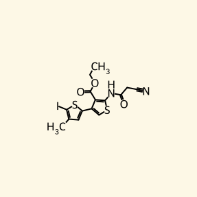 CCOC(=O)c1c(-c2cc(C)c(I)s2)csc1NC(=O)CC#N